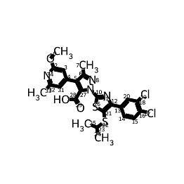 COc1cc(-c2c(C)nn(-c3nc(-c4ccc(Cl)c(Cl)c4)c(SC(C)C)s3)c2C(=O)O)cc(C)n1